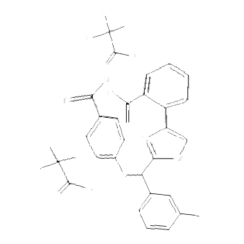 CCc1cccc(C(Nc2ccc(C(=N)N)cc2)c2nc(-c3ccccc3C(N)=O)c[nH]2)c1.O=C(O)C(F)(F)F.O=C(O)C(F)(F)F